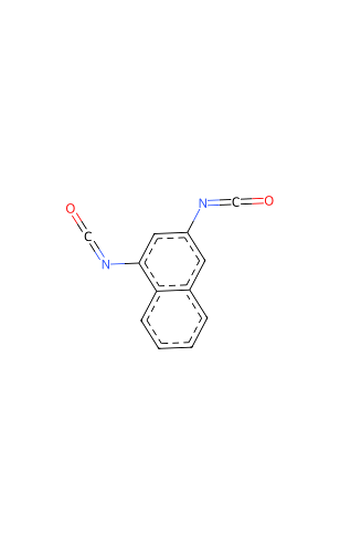 O=C=Nc1cc(N=C=O)c2ccccc2c1